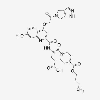 CCCCOC(=O)N1CCN(C(=O)[C@H](CCC(=O)O)NC(=O)c2cc(OCC(=O)N3Cc4cn[nH]c4C3)c3ccc(C)cc3n2)CC1